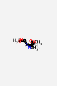 COC(=O)Cc1cccc(CCN(C)CCCC(C#N)(c2ccc(OC)c(C=O)c2)C(C)C)c1